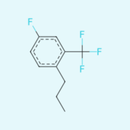 CCCc1ccc(F)cc1C(F)(F)F